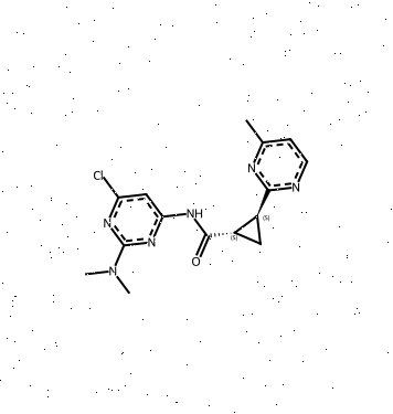 Cc1ccnc([C@H]2C[C@@H]2C(=O)Nc2cc(Cl)nc(N(C)C)n2)n1